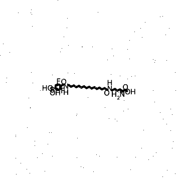 N[C@@H](CCCCNC(=O)CCCCCCCCCCCCCCCNC(=O)c1c(F)cc(B(O)O)cc1F)C(=O)O